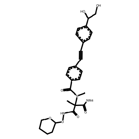 CNC(=O)C(C)(C(=O)NOC1CCCCO1)N(C)C(=O)c1ccc(C#Cc2ccc(C(O)CO)cc2)cc1